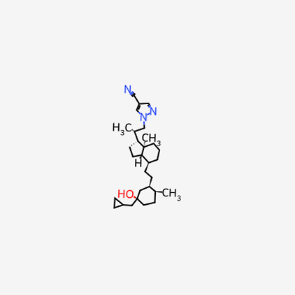 C[C@H](Cn1cc(C#N)cn1)[C@H]1CC[C@H]2[C@H](CC[C@@H]3C[C@@](O)(CC4CC4)CC[C@@H]3C)CCC[C@]12C